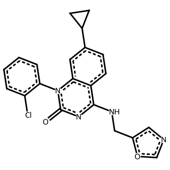 O=c1nc(NCc2cnco2)c2ccc(C3CC3)cc2n1-c1ccccc1Cl